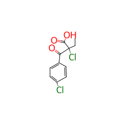 CCC(Cl)(C(=O)O)C(=O)c1ccc(Cl)cc1